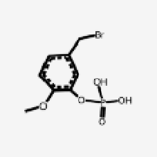 COc1ccc(CBr)cc1OP(=O)(O)O